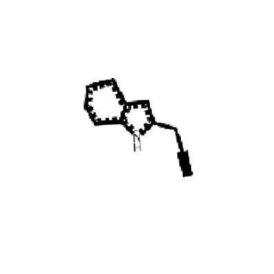 [C]#CCc1cc2ccccc2[nH]1